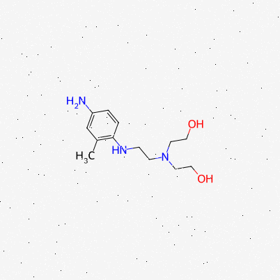 Cc1cc(N)ccc1NCCN(CCO)CCO